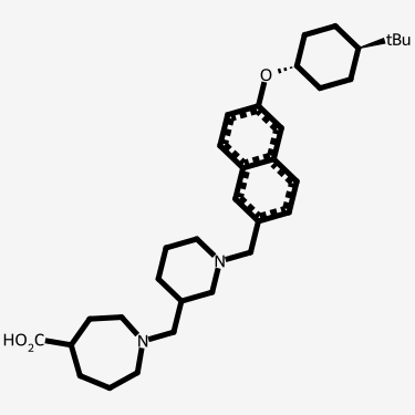 CC(C)(C)[C@H]1CC[C@H](Oc2ccc3cc(CN4CCCC(CN5CCCC(C(=O)O)CC5)C4)ccc3c2)CC1